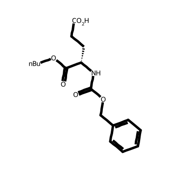 CCCCOC(=O)[C@H](CCC(=O)O)NC(=O)OCc1ccccc1